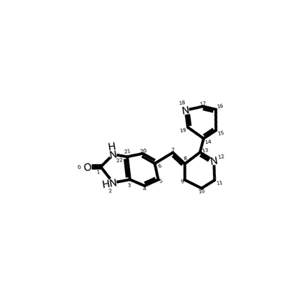 O=c1[nH]c2ccc(C=C3CCCN=C3c3cccnc3)cc2[nH]1